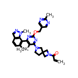 C=CC(=O)N1CC2(CCN(c3nc(OCc4cnc(C)nc4)nc(-c4c(C)ccc5cnn(C)c45)c3C#N)C2)C1